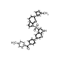 CN1CCN(C(=O)c2ccc(-c3cnc4[nH]cc(S(=O)(=O)n5ccc6ccc(-c7cnn(C)c7)nc65)c4c3)cc2)CC1